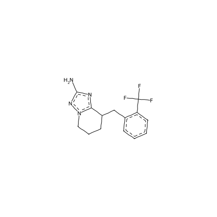 Nc1nc2n(n1)CCCC2Cc1ccccc1C(F)(F)F